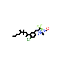 C=CCCC(=C)C(C)(C)CC(=C)c1cc(/C=C(\N(C)C(=C)NC=O)C(F)(F)F)ccc1Cl